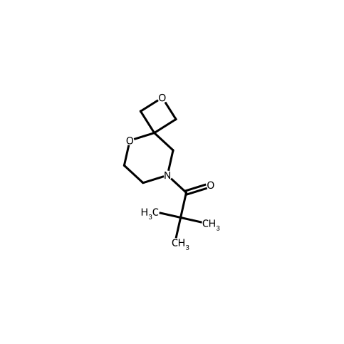 CC(C)(C)C(=O)N1CCOC2(COC2)C1